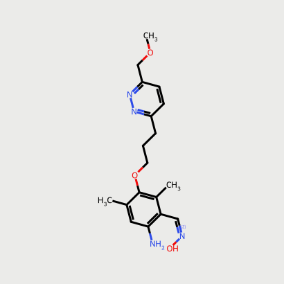 COCc1ccc(CCCOc2c(C)cc(N)c(/C=N\O)c2C)nn1